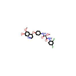 COc1cc2nccc(Oc3ccc(NC(=O)C(OC)C(=O)Nc4ccc(F)cc4F)cc3)c2cc1OC